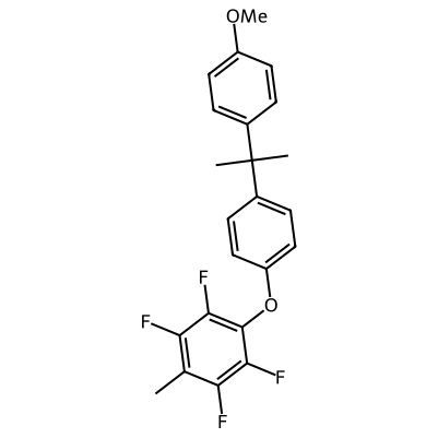 COc1ccc(C(C)(C)c2ccc(Oc3c(F)c(F)c(C)c(F)c3F)cc2)cc1